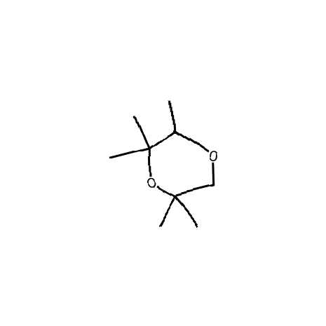 CC1OCC(C)(C)OC1(C)C